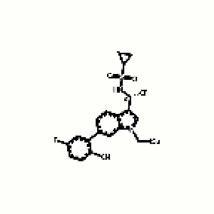 CC(C)(C)Cn1cc([C@H](NS(=O)(=O)C2CC2)C(F)(F)F)c2ccc(-c3cc(F)ccc3C#N)cc21